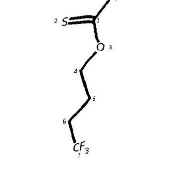 CC(=S)OCCCC(F)(F)F